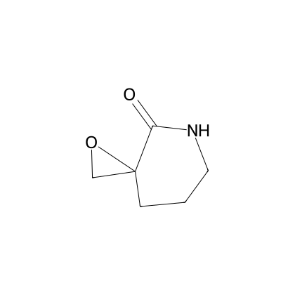 O=C1NCCCC12CO2